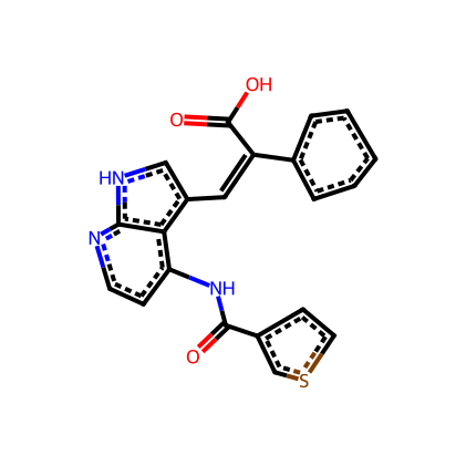 O=C(O)/C(=C\c1c[nH]c2nccc(NC(=O)c3ccsc3)c12)c1ccccc1